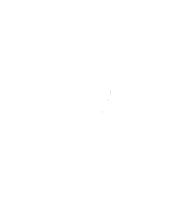 CC(=O)CC(C)C(C)C(C)O